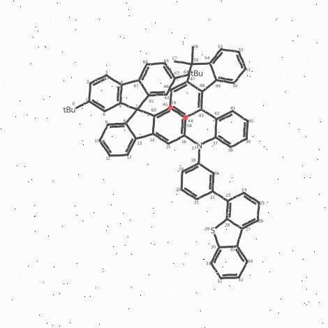 CC(C)(C)c1ccc2c(c1)C1(c3ccccc3-c3cc(N(c4cccc(-c5cccc6c5sc5ccccc56)c4)c4ccccc4-c4cccc5c4-c4ccccc4C5(C)C)ccc31)c1cc(C(C)(C)C)ccc1-2